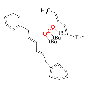 C(C=CCc1ccccc1)=CCc1ccccc1.CC(C)(C)[O-].CC(C)(C)[O-].CC(C)(C)[O-].CC=CC=[CH][Ti+3]